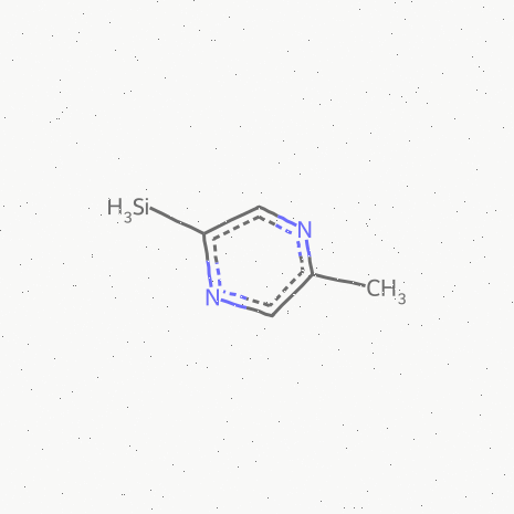 Cc1cnc([SiH3])cn1